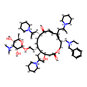 CCN(Cc1ccccc1)C[C@H]1/C=C(CC(C)N2CCCCC2)/C=C/C(=O)[C@@H](CC(C)N2CCCCC2)CC[C@@H](CCO[C@@H]2O[C@H](C)[C@@H](O)[C@H](N(C)C)[C@H]2O)[C@H](CC(C)N2CCCCC2)[C@H](O)CC(=O)OC1